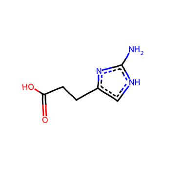 Nc1nc(CCC(=O)O)c[nH]1